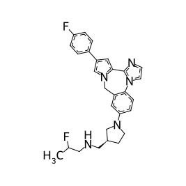 CC(F)CNC[C@@H]1CCN(c2ccc3c(c2)Cn2cc(-c4ccc(F)cc4)cc2-c2nccn2-3)C1